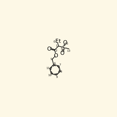 CCC(C(=O)OCc1ccccc1)S(C)(=O)=O